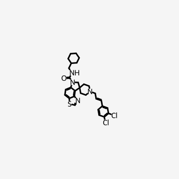 O=C(NCC1CCCCC1)N1CC2(CCN(CC=Cc3ccc(Cl)c(Cl)c3)CC2)c2c1ccc1scnc21